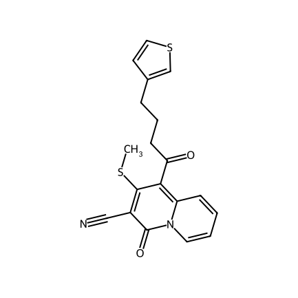 CSc1c(C#N)c(=O)n2ccccc2c1C(=O)CCCc1ccsc1